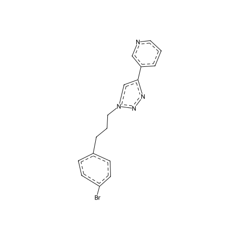 Brc1ccc(CCCn2cc(-c3cccnc3)nn2)cc1